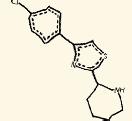 Clc1ccc(-c2csc(C3CCCCN3)n2)cc1